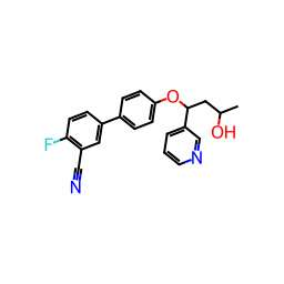 CC(O)CC(Oc1ccc(-c2ccc(F)c(C#N)c2)cc1)c1cccnc1